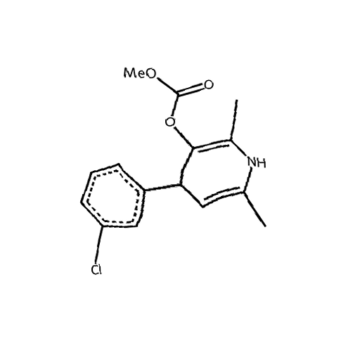 COC(=O)OC1=C(C)NC(C)=CC1c1cccc(Cl)c1